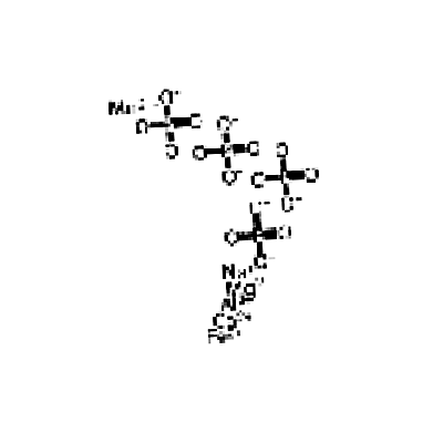 O=P([O-])([O-])[O-].O=P([O-])([O-])[O-].O=P([O-])([O-])[O-].O=P([O-])([O-])[O-].[Al+3].[Ca+2].[Fe+2].[Mg+2].[Mn+2].[Na+]